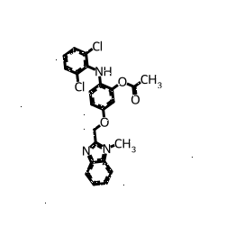 CC(=O)Oc1cc(OCc2nc3ccccc3n2C)ccc1Nc1c(Cl)cccc1Cl